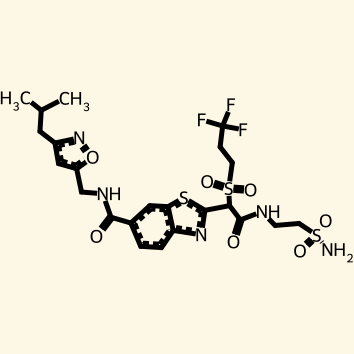 CC(C)Cc1cc(CNC(=O)c2ccc3nc(C(C(=O)NCCS(N)(=O)=O)S(=O)(=O)CCC(F)(F)F)sc3c2)on1